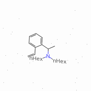 C=Cc1ccccc1C(C)N(CCCCCC)CCCCCC